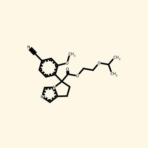 COc1cc(C#N)ccc1C1(C(=O)OCCOC(C)C)CCc2cncn21